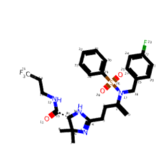 C=C(CCC1=NC(C)(C)[C@H](C(=O)NCCC(F)(F)F)N1)N(Cc1ccc(F)cc1)S(=O)(=O)c1ccccc1